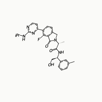 Cc1cccc([C@@H](CO)NC(=O)[C@@H](C)N2Cc3ccc(-c4ccnc(NC(C)C)n4)c(F)c3C2=O)c1